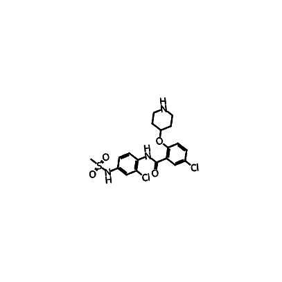 CS(=O)(=O)Nc1ccc(NC(=O)c2cc(Cl)ccc2OC2CCNCC2)c(Cl)c1